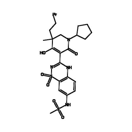 CC(C)CCC1(C)CN(C2CCCC2)C(=O)C(C2=NS(=O)(=O)c3cc(NS(C)(=O)=O)ccc3N2)=C1O